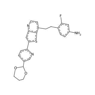 Nc1ccc(CCc2ccnc3cc(-c4ccc(C5OCCCO5)cn4)sc23)c(F)c1